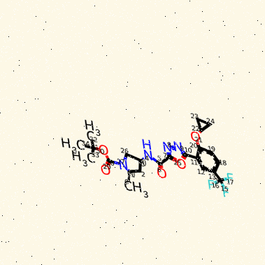 C[C@@H]1C[C@@H](NC(=O)c2nnc(-c3cc(C(F)(F)F)ccc3OC3CC3)o2)CN1C(=O)OC(C)(C)C